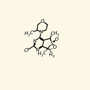 CC1COCCN1c1nc(Cl)nc2c1C(C)S(=O)(=O)C2(C)C